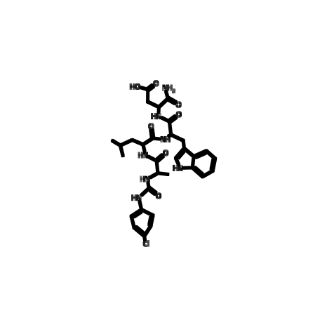 CC(C)CC(NC(=O)C(C)NC(=O)Nc1ccc(Cl)cc1)C(=O)NC(Cc1c[nH]c2ccccc12)C(=O)NC(CC(=O)O)C(N)=O